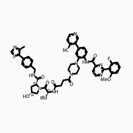 COc1cccc(F)c1-c1nccc(C(=O)Nc2ccc(-c3cnccc3C#N)cc2N2CCN(C(=O)CCC(=O)N[C@H](C(=O)N3C[C@H](O)C[C@H]3C(=O)NCc3ccc(-c4scnc4C)cc3)C(C)(C)C)CC2)n1